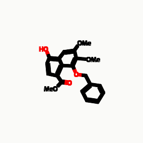 COC(=O)c1ccc(O)c2cc(OC)c(OC)c(OCc3ccccc3)c12